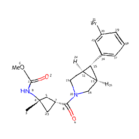 COC(=O)N[C@]1(C)C[C@H](C(=O)N2C[C@@H]3[C@H](C2)[C@H]3c2cccc(C(C)C)c2)C1